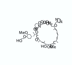 CO[C@@H]1C[C@H](C[C@@H](C)[C@@H]2CC(=O)[C@H](C)/C=C(\C)[C@@H](O)[C@@H](OC)C(=O)[C@H](C)C[C@H](C)/C=C/C=C/C=C(\C)[C@H](OCc3cnccn3)C[C@@H]3CC[C@@H](C)[C@@](O)(O3)C(=O)C(=O)N3CCCC[C@H]3C(=O)O2)CC[C@H]1OCCO